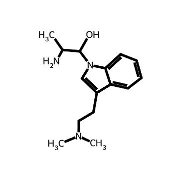 CC(N)C(O)n1cc(CCN(C)C)c2ccccc21